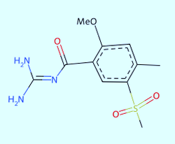 COc1cc(C)c(S(C)(=O)=O)cc1C(=O)N=C(N)N